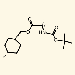 C[C@H](NC(=O)OC(C)(C)C)C(=O)OC[C@H]1CC[C@H](C)CC1